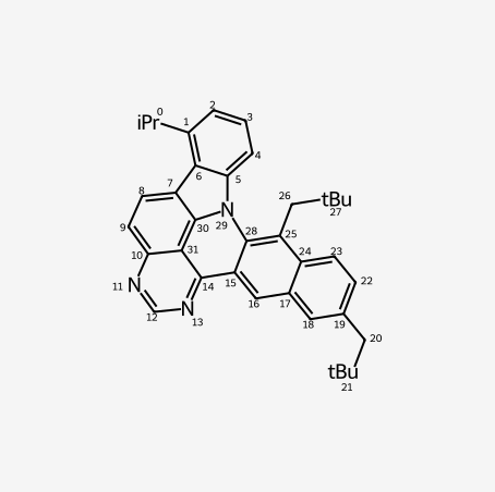 CC(C)c1cccc2c1c1ccc3ncnc4c5cc6cc(CC(C)(C)C)ccc6c(CC(C)(C)C)c5n2c1c34